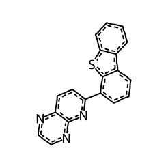 c1ccc2c(c1)sc1c(-c3ccc4nccnc4n3)cccc12